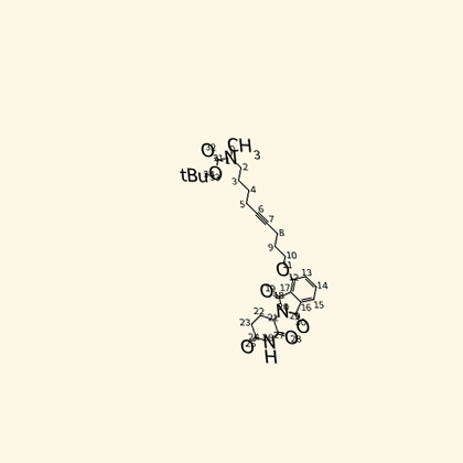 CN(CCCCC#CCCCOc1cccc2c1C(=O)N(C1CCC(=O)NC1=O)C2=O)C(=O)OC(C)(C)C